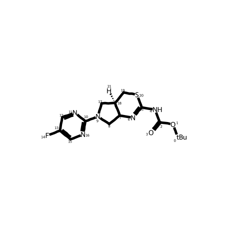 CC(C)(C)OC(=O)NC1=NC2CN(c3ncc(F)cn3)C[C@H]2CS1